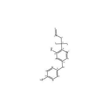 C=NCC(C)(C)c1ncc(Cc2ccc(F)cc2)cc1F